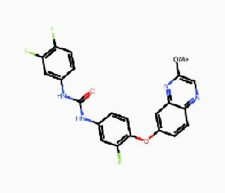 COc1cnc2ccc(Oc3ccc(NC(=O)Nc4ccc(F)c(F)c4)cc3F)cc2n1